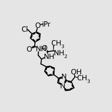 CC(C)Oc1ccc(C(=O)NCC(Cc2ccc(-c3cn4cccc([C@H](C)O)c4n3)cc2)NC(=O)[C@@H](C)N)cc1Cl